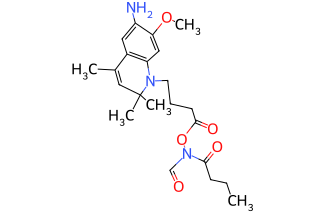 CCCC(=O)N(C=O)OC(=O)CCCN1c2cc(OC)c(N)cc2C(C)=CC1(C)C